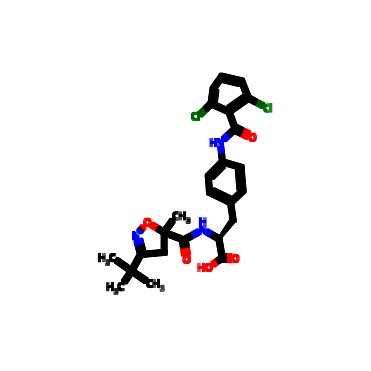 CC(C)(C)C1=NOC(C)(C(=O)N[C@@H](Cc2ccc(NC(=O)c3c(Cl)cccc3Cl)cc2)C(=O)O)C1